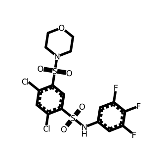 O=S(=O)(Nc1cc(F)c(F)c(F)c1)c1cc(S(=O)(=O)N2CCOCC2)c(Cl)cc1Cl